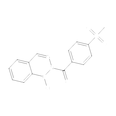 CS(=O)(=O)c1ccc(C(=O)N2N=Cc3ccccc3B2O)cc1